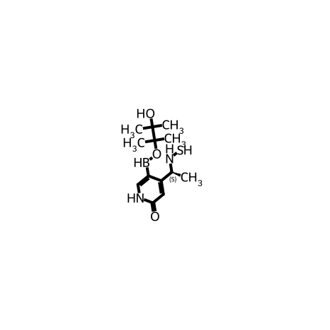 C[C@H](NS)c1cc(=O)[nH]cc1BOC(C)(C)C(C)(C)O